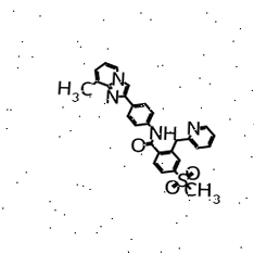 Cc1cccn2cc(-c3ccc(NC(=O)c4ccc(S(C)(=O)=O)cc4Cc4ccccn4)cc3)nc12